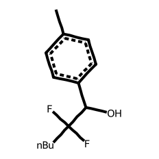 CCCCC(F)(F)C(O)c1ccc(C)cc1